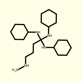 [SiH3]NCCCC(NC1CCCCC1)(NC1CCCCC1)NC1CCCCC1